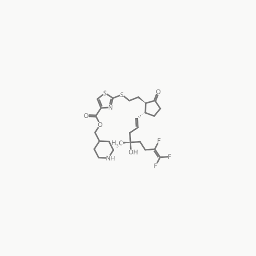 C[C@@](O)(C/C=C/[C@H]1CCC(=O)[C@@H]1CCSc1nc(C(=O)OCC2CCNCC2)cs1)CCC(F)=C(F)F